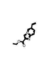 C=Cc1ccc2nc(C(=O)OCC)cn2c1